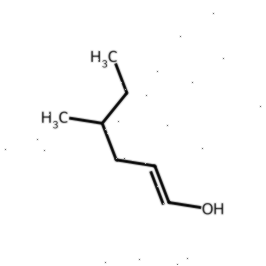 CCC(C)C/C=C/O